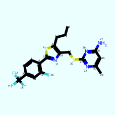 CCCc1sc(-c2ccc(C(F)(F)F)cc2F)nc1CSc1nc(C)cc(N)n1